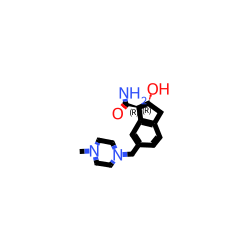 CN1CCN(Cc2ccc3c(c2)[C@@H](C(N)=O)[C@H](O)C3)CC1